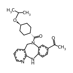 CC(=O)c1ccc2c(c1)N(C(=O)[C@H]1CC[C@H](OC(C)C)CC1)Cc1cccnc1N2